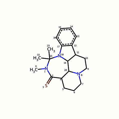 CN1C(=S)C2CCCN3CCC4c5ccccc5N(C4C23)C1(C)C